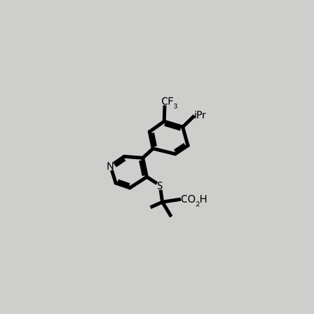 CC(C)c1ccc(-c2cnccc2SC(C)(C)C(=O)O)cc1C(F)(F)F